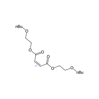 CCCCOCCOC(=O)/C=C\C(=O)OCCOCCCC